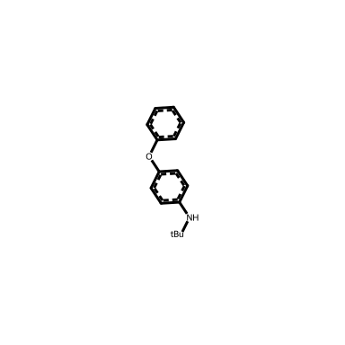 CC(C)(C)Nc1ccc(Oc2ccccc2)cc1